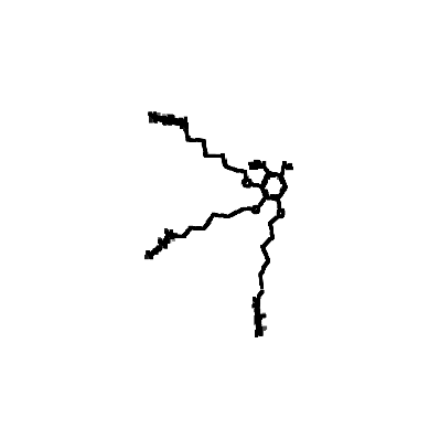 CCCCc1c(C(C)=O)cc(OCCCCCCN=[N+]=[N-])c(OCCCCCCN=[N+]=[N-])c1OCCCCCCN=[N+]=[N-]